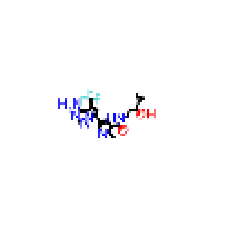 Cc1ncc(-c2cc(C(F)(F)F)c3c(N)ncnn23)cc1C(=O)NCCC(O)C1CC1